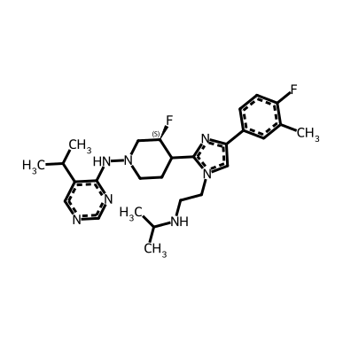 Cc1cc(-c2cn(CCNC(C)C)c(C3CCN(Nc4ncncc4C(C)C)C[C@H]3F)n2)ccc1F